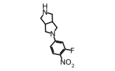 O=[N+]([O-])c1ccc(N2CC3CNCC3C2)cc1F